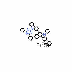 CC1(C)c2ccccc2-c2cc3c(cc21)c1c2ccccc2c(-c2ccc4c5ccccc5n(-c5nc(-c6ccccc6)nc(-c6ccccc6)n5)c4c2)cc1n3-c1ccccc1